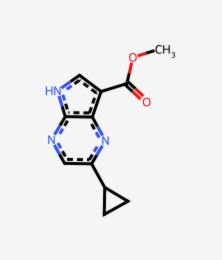 COC(=O)c1c[nH]c2ncc(C3CC3)nc12